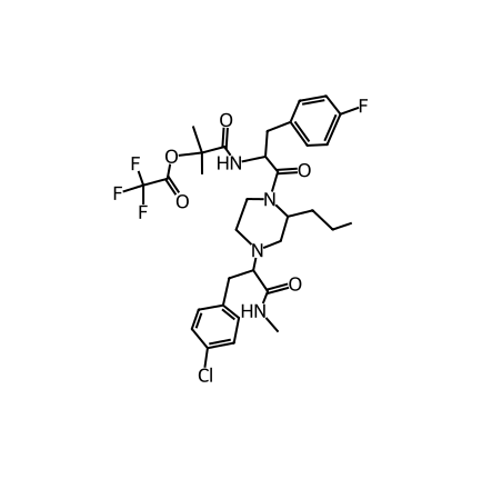 CCCC1CN(C(Cc2ccc(Cl)cc2)C(=O)NC)CCN1C(=O)C(Cc1ccc(F)cc1)NC(=O)C(C)(C)OC(=O)C(F)(F)F